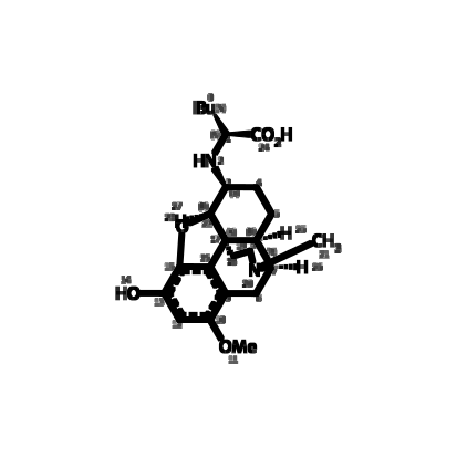 CC[C@H](C)[C@H](N[C@H]1CC[C@H]2[C@H]3Cc4c(OC)cc(O)c5c4[C@@]2(CCN3C)[C@H]1O5)C(=O)O